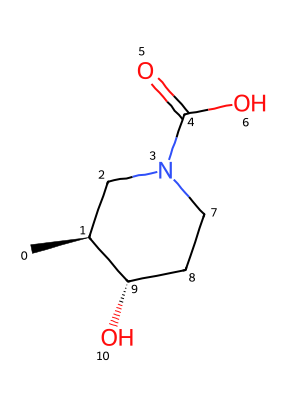 C[C@H]1CN(C(=O)O)CC[C@@H]1O